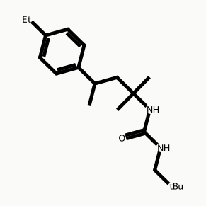 CCc1ccc(C(C)CC(C)(C)NC(=O)NCC(C)(C)C)cc1